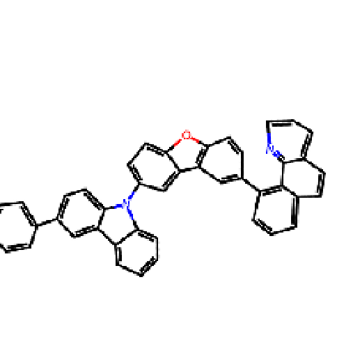 c1ccc(-c2ccc3c(c2)c2ccccc2n3-c2ccc3oc4ccc(-c5cccc6ccc7cccnc7c56)cc4c3c2)cc1